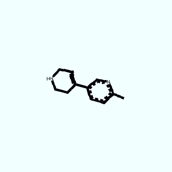 Cc1ccc(C2=CCNCC2)cn1